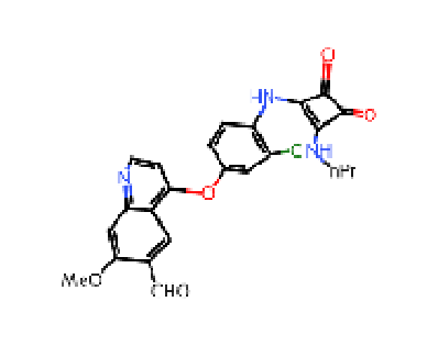 CCCNc1c(Nc2ccc(Oc3ccnc4cc(OC)c(C=O)cc34)cc2Cl)c(=O)c1=O